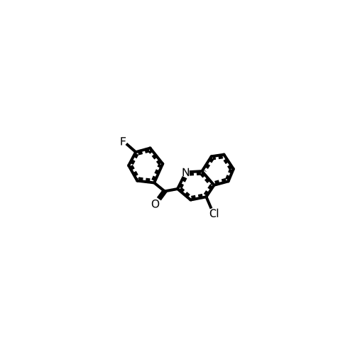 O=C(c1ccc(F)cc1)c1cc(Cl)c2ccccc2n1